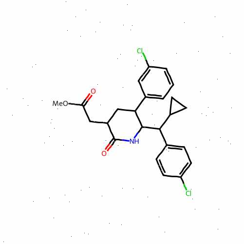 COC(=O)CC1CC(c2cccc(Cl)c2)C(C(c2ccc(Cl)cc2)C2CC2)NC1=O